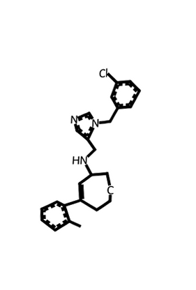 Cc1ccccc1C1=CC(NCc2cncn2Cc2cccc(Cl)c2)CCCC1